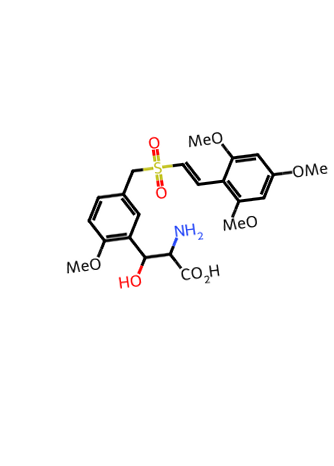 COc1cc(OC)c(/C=C/S(=O)(=O)Cc2ccc(OC)c(C(O)C(N)C(=O)O)c2)c(OC)c1